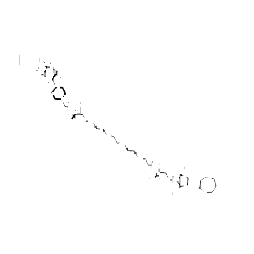 Cc1nnc(-c2ccc(CNC(=O)CCOCCOCCOCCOCCNC(=O)CCN3C(=O)CC(SC4CCCCCC4)C3=O)cc2)nn1